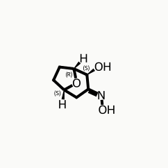 ON=C1C[C@@H]2CC[C@@H](O2)[C@H]1O